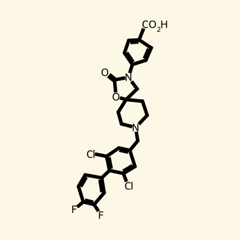 O=C(O)c1ccc(N2CC3(CCN(Cc4cc(Cl)c(-c5ccc(F)c(F)c5)c(Cl)c4)CC3)OC2=O)cc1